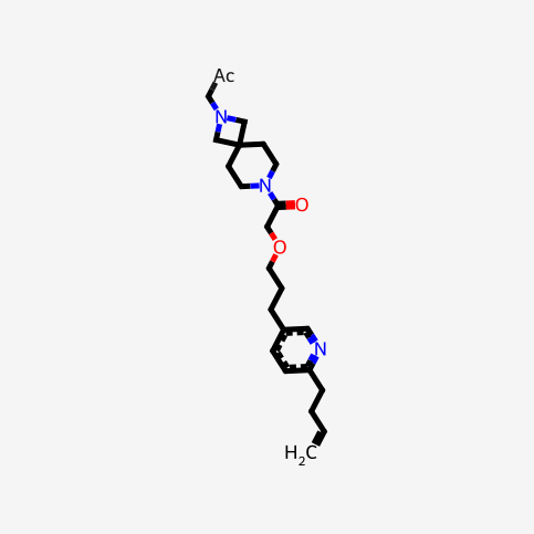 C=CCCc1ccc(CCCOCC(=O)N2CCC3(CC2)CN(CC(C)=O)C3)cn1